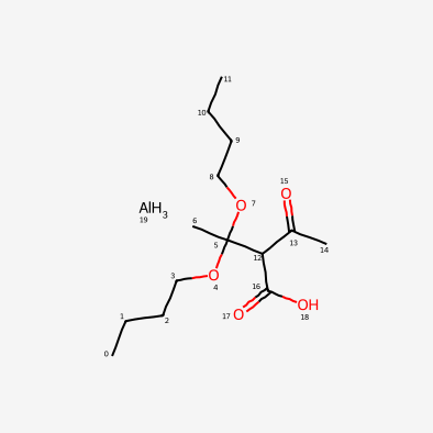 CCCCOC(C)(OCCCC)C(C(C)=O)C(=O)O.[AlH3]